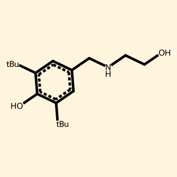 CC(C)(C)c1cc(CNCCO)cc(C(C)(C)C)c1O